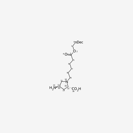 CCCCCCCCCCCOC(=O)CCCCCN1C[C@H](N)C[C@H]1C(=O)O